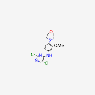 COc1cc(Nc2nc(Cl)ncc2Cl)ccc1N1CCOCC1